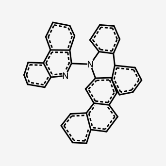 c1ccc(-c2ccccc2N(c2ccc3ccc4ccccc4c3c2)c2nc3ccccc3c3ccccc23)cc1